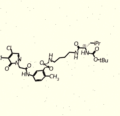 Cc1ccc(NC(=O)Cn2ncc(Cl)c(Cl)c2=O)cc1S(=O)(=O)NCCCCNC(=O)[C@H](CC(C)C)NC(=O)OC(C)(C)C